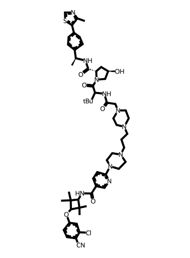 Cc1ncsc1-c1ccc([C@H](C)NC(=O)[C@@H]2C[C@@H](O)CN2C(=O)C(NC(=O)CN2CCN(CCCN3CCN(c4ccc(C(=O)NC5C(C)(C)C(Oc6ccc(C#N)c(Cl)c6)C5(C)C)cn4)CC3)CC2)C(C)(C)C)cc1